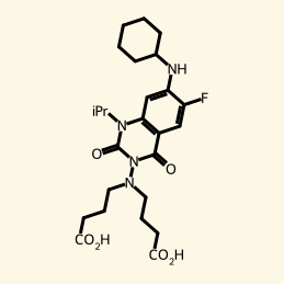 CC(C)n1c(=O)n(N(CCCC(=O)O)CCCC(=O)O)c(=O)c2cc(F)c(NC3CCCCC3)cc21